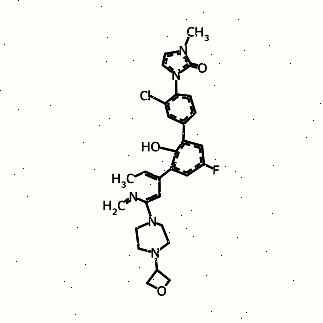 C=N/C(=C\C(=C/C)c1cc(F)cc(-c2ccc(-n3ccn(C)c3=O)c(Cl)c2)c1O)N1CCN(C2COC2)CC1